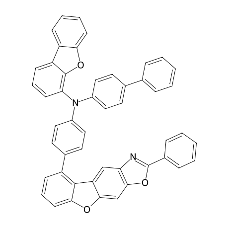 c1ccc(-c2ccc(N(c3ccc(-c4cccc5oc6cc7oc(-c8ccccc8)nc7cc6c45)cc3)c3cccc4c3oc3ccccc34)cc2)cc1